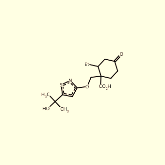 CCC1CC(=O)CCC1(COc1cc(C(C)(C)O)sn1)C(=O)O